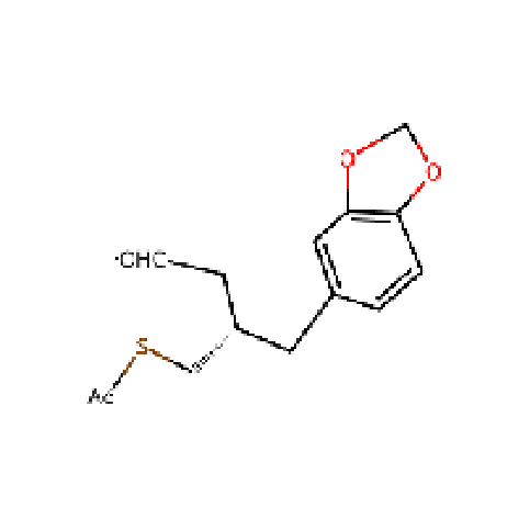 CC(=O)SC[C@H](C[C]=O)Cc1ccc2c(c1)OCO2